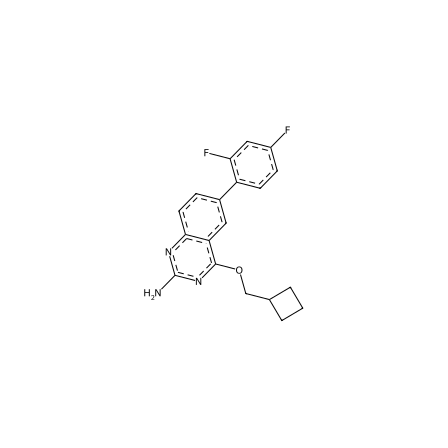 Nc1nc(OCC2CCC2)c2cc(-c3ccc(F)cc3F)ccc2n1